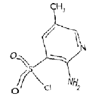 Cc1cnc(N)c(S(=O)(=O)Cl)c1